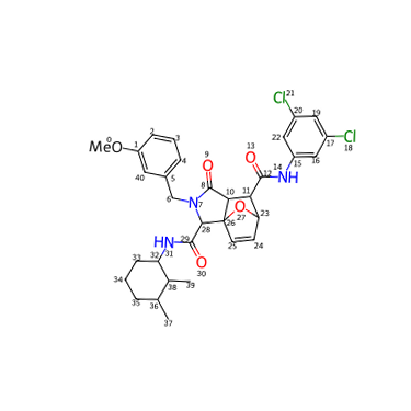 COc1cccc(CN2C(=O)C3C(C(=O)Nc4cc(Cl)cc(Cl)c4)C4C=CC3(O4)C2C(=O)NC2CCCC(C)C2C)c1